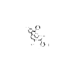 C/C=C\C=C/c1c2cc(N/C(=C\N)c3cc(C)cc(C)c3)ccc2c(-c2ccccc2)c2cc(C)ccc12